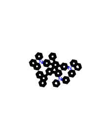 C1=CCCC(N(c2ccccc2)c2ccc3c(c2)c2cc(-c4cc5ccccc5c5ccccc45)ccc2c2c(-c4ccc(N(c5ccccc5)c5cccc6ccccc56)cc4)c(-c4ccccc4)cc(-c4ccc(N(c5ccccc5)c5cccc6c5CCC=C6)cc4)c32)=C1